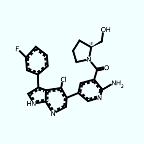 Nc1ncc(-c2cnc3[nH]cc(-c4cccc(F)c4)c3c2Cl)cc1C(=O)N1CCC[C@H]1CO